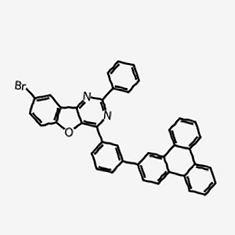 Brc1ccc2oc3c(-c4cccc(-c5ccc6c7ccccc7c7ccccc7c6c5)c4)nc(-c4ccccc4)nc3c2c1